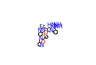 CCc1nc2ccc(N(Cc3cccnc3)C(=O)c3cccs3)cc2c(=O)n1CC1CCN(c2ccccc2C2=NNNN2)CC1